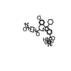 COc1ccc2c(c1)CC(C(=O)N1CCN(C(=O)N(C)C)CC1)Cn1c-2c(C2CCCCC2)c2ccc(C(=O)NS(=O)(=O)N(C)C)cc21